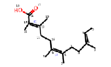 CC=C(C)CC/C(C)=C(/C)CC/C(C)=C(\C)C(=O)O